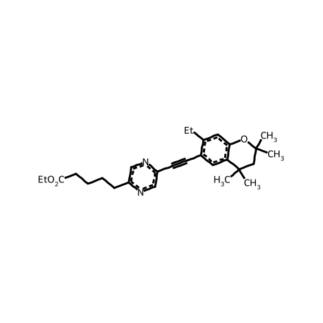 CCOC(=O)CCCCc1cnc(C#Cc2cc3c(cc2CC)OC(C)(C)CC3(C)C)cn1